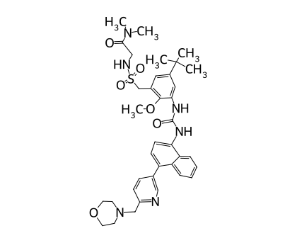 COc1c(CS(=O)(=O)NCC(=O)N(C)C)cc(C(C)(C)C)cc1NC(=O)Nc1ccc(-c2ccc(CN3CCOCC3)nc2)c2ccccc12